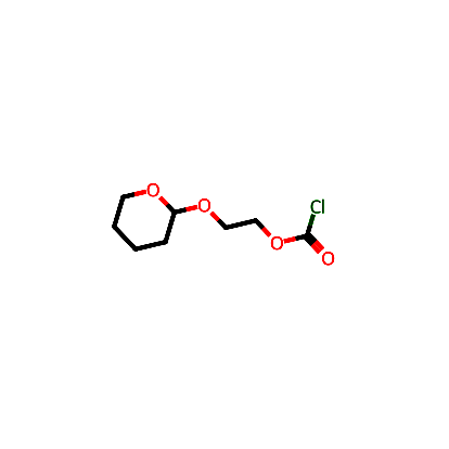 O=C(Cl)OCCOC1CCCCO1